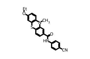 CCOc1ccc2c(c1)Sc1ccc(C(=O)Nc3ccc(C#N)cc3)cc1N2C